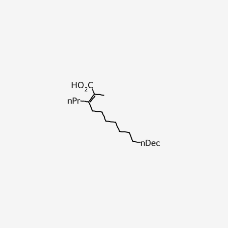 CCCCCCCCCCCCCCCCCC(CCC)=C(C)C(=O)O